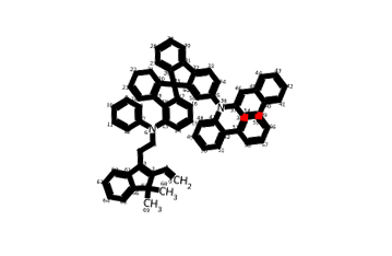 C=CC1=C(CCN(c2ccccc2)c2cccc3c2C2=C(CCC=C2)C32c3ccccc3-c3ccc(N(c4ccc5ccccc5c4)c4ccccc4-c4ccccc4)cc32)c2ccccc2C1(C)C